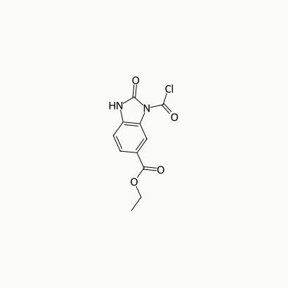 CCOC(=O)c1ccc2[nH]c(=O)n(C(=O)Cl)c2c1